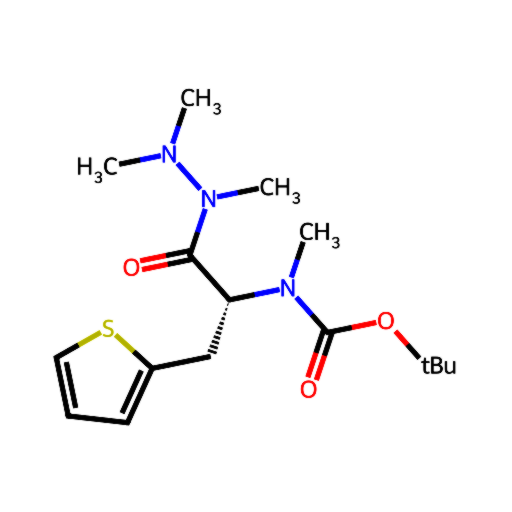 CN(C(=O)OC(C)(C)C)[C@H](Cc1cccs1)C(=O)N(C)N(C)C